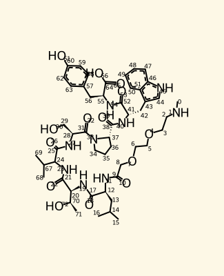 CNCCOCCOCC(=O)N[C@@H](CC(C)C)C(=O)N[C@H](C(=O)NC(C(=O)N[C@@H](CO)C(=O)N1CCC[C@H]1C(=O)N[C@@H](Cc1c[nH]c2ccccc12)C(=O)N[C@@H](Cc1ccc(O)cc1)C(=O)O)C(C)C)[C@@H](C)O